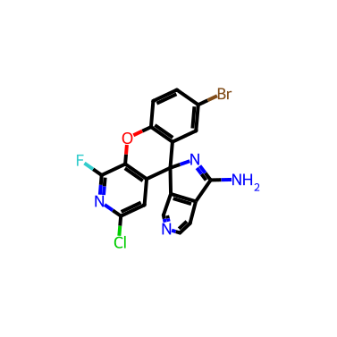 NC1=NC2(c3cc(Br)ccc3Oc3c2cc(Cl)nc3F)c2cnccc21